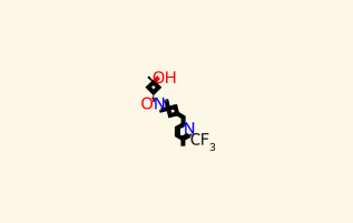 Cc1ccc(CC2CC3(C2)CN(C(=O)[C@H]2C[C@@](C)(O)C2)C3)nc1C(F)(F)F